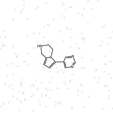 c1ncc(-c2ccc3n2CCNC3)cn1